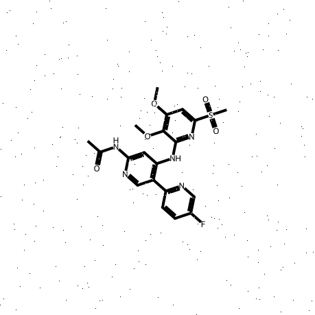 COc1cc(S(C)(=O)=O)nc(Nc2cc(NC(C)=O)ncc2-c2ccc(F)cn2)c1OC